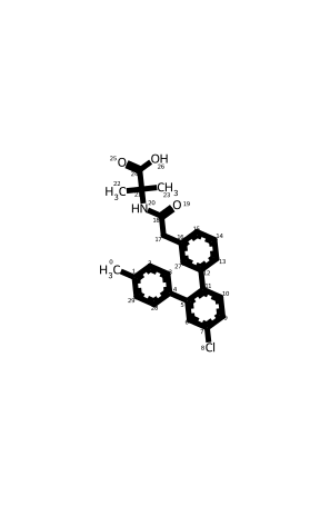 Cc1ccc(-c2cc(Cl)ccc2-c2cccc(CC(=O)NC(C)(C)C(=O)O)c2)cc1